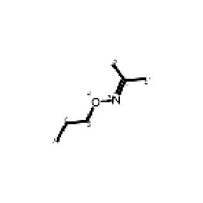 [CH2]/C(C)=N/OCCC